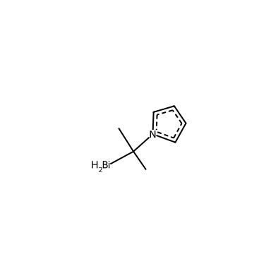 C[C](C)([BiH2])n1cccc1